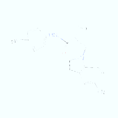 N#Cc1ccc(NC(=O)C(C=O)CN2CCc3cc(C#N)ccc32)cc1